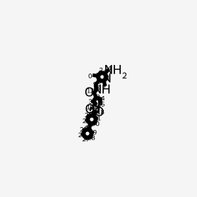 Cc1cc(N)nc(C)c1CNC(=O)c1ccn(S(=O)(=O)c2ccc(-c3ccccc3)cc2)c1